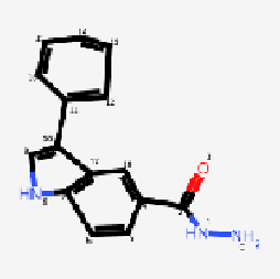 NNC(=O)c1ccc2[nH]cc(-c3ccccc3)c2c1